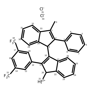 CC1=C(c2ccccc2)C(C2=C(c3cc(C(F)(F)F)cc(C(F)(F)F)c3)[CH]([Hf+2])c3ccccc32)c2ccccc21.[Cl-].[Cl-]